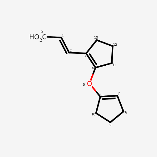 O=C(O)C=CC1=C(OC2=CCCC2)CCC1